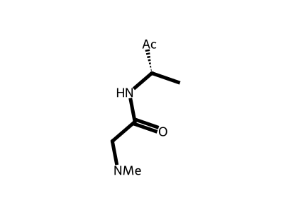 CNCC(=O)N[C@@H](C)C(C)=O